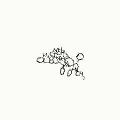 CN1C[C@H](c2ccccc2)[C@]2(CCCN(C(=O)[C@@H](COCc3ccccc3)NC(=O)C(C)(C)N)C2)C1=O